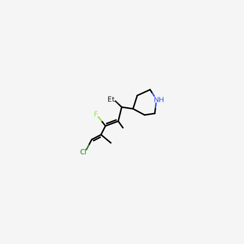 CCC(/C(C)=C(F)/C(C)=C/Cl)C1CCNCC1